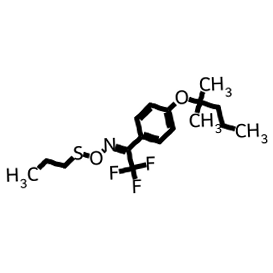 CCCSO/N=C(/c1ccc(OC(C)(C)CCC)cc1)C(F)(F)F